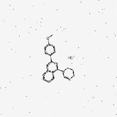 COc1ccc(-c2cc3ccccc3c(N3C=NCCC3)n2)cc1.Cl